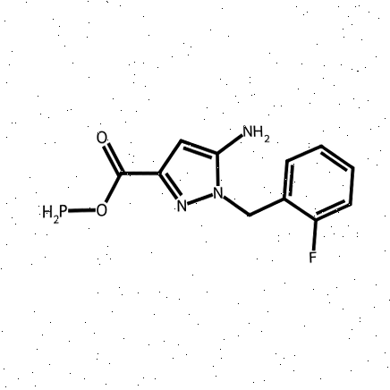 Nc1cc(C(=O)OP)nn1Cc1ccccc1F